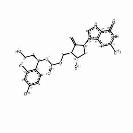 C=C1[C@H](CO[PH](=O)O[C@H](CCO)c2ccc(Cl)cc2Cl)[C@@H](O)C[C@@H]1n1cnc2c(=O)[nH]c(N)nc21